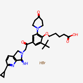 Br.CC(C)(C)c1cc(C(=O)CN2Cc3ccc(C4CC4)nc3C2=N)cc(N2CCC(=O)CC2)c1OCCCCC(=O)O